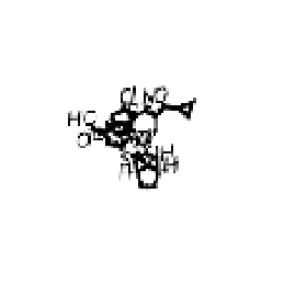 O=C(O)c1cc(F)c2nc([C@]3(O)[C@@H]4CC[C@H]3C[C@H](OCc3c(-c5c(Cl)c[n+]([O-])cc5Cl)noc3C3CC3)C4)sc2c1